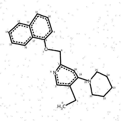 CCc1cnc(COc2cccc3ccccc23)cc1N1CCCCC1